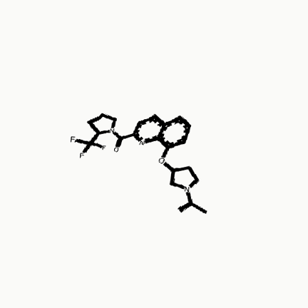 CC(C)N1CCC(Oc2cccc3ccc(C(=O)N4CCCC4C(F)(F)F)nc23)C1